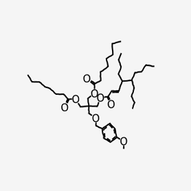 CCCCCCCC(=O)OCC(COCc1ccc(OC)cc1)(COC(=O)C=CC(CCCC)C(CCCC)CCCC)COC(=O)CCCCCCC